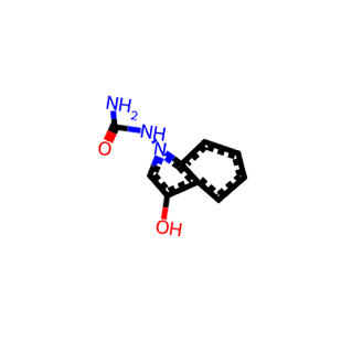 NC(=O)Nn1cc(O)c2ccccc21